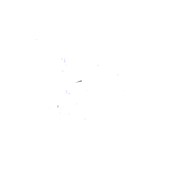 C[C@@H]1Cc2c([nH]c3ccccc23)[C@@H](c2c(F)cc(C=CC(=O)O)cc2F)N1CC1(C)COC1